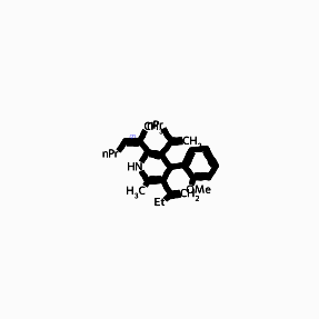 C=C(CC)C1=C(C)NC(/C(C)=C\CCC)=C(C(=C)CCC)C1c1ccccc1OC